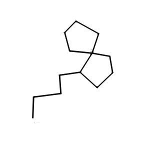 OCCCC1CCCC12CCCC2